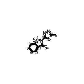 Cc1nnc(-n2[se]c3ccccc3c2=S)s1